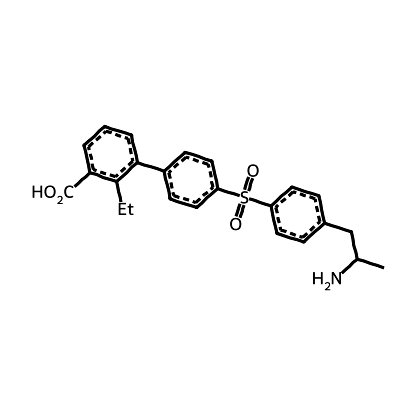 CCc1c(C(=O)O)cccc1-c1ccc(S(=O)(=O)c2ccc(CC(C)N)cc2)cc1